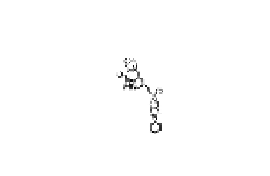 O=C1Nc2ncc(/C=C/C(=O)N3CC4CN(c5ccccc5)CC4C3)cc2CN2CCOCC12